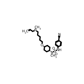 C=CCN(C)CCCCCO[C@H]1CC[C@H](N(C)S(=O)(=O)Nc2ccc(C#N)cc2)CC1